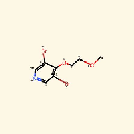 COCCOc1c(Br)cncc1Br